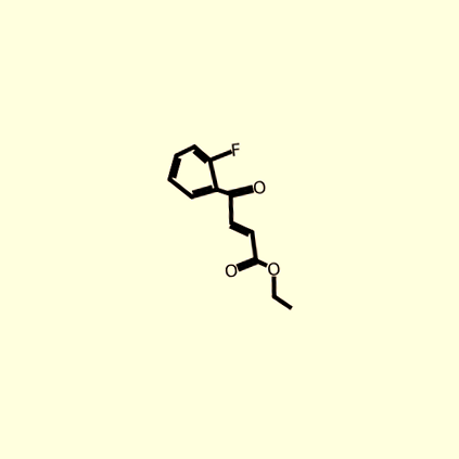 CCOC(=O)/C=C/C(=O)c1ccccc1F